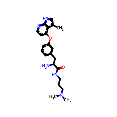 Cc1c[nH]c2nccc(Oc3cccc(CC(N)C(=O)NCCCN(C)C)c3)c12